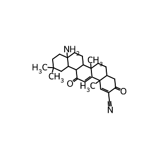 CC1(C)CCC2(N)CCC3C(C(=O)C=C4C5(C)C=C(C#N)C(=O)CC5CCC43C)C2C1